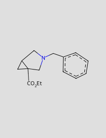 CCOC(=O)C12CC1CN(Cc1ccccc1)C2